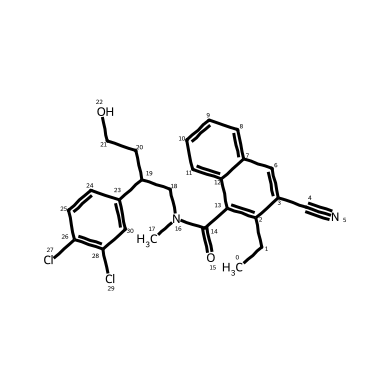 CCc1c(C#N)cc2ccccc2c1C(=O)N(C)CC(CCO)c1ccc(Cl)c(Cl)c1